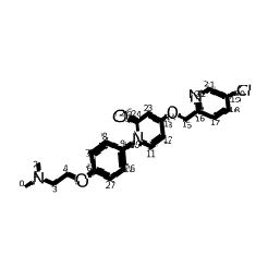 CN(C)CCOc1ccc(-n2ccc(OCc3ccc(Cl)cn3)cc2=O)cc1